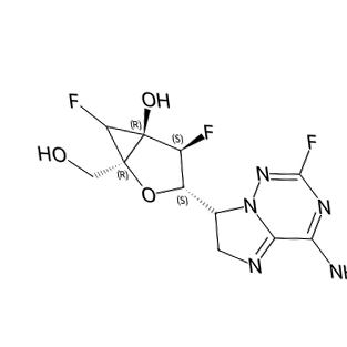 NC1=NC(F)=NN2C1=NCC2[C@@H]1O[C@@]2(CO)C(F)[C@]2(O)[C@H]1F